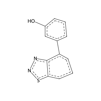 Oc1cccc(-c2cccc3snnc23)c1